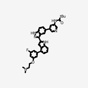 CN(C)CCOc1cc(F)cc(-c2cccc3[nH]c(-c4n[nH]c5ccc(-c6cncc(NC(=O)C(C)(C)C)c6)cc45)cc23)c1